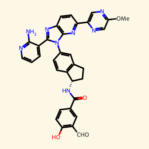 COc1cnc(-c2ccc3nc(-c4cccnc4N)n(-c4ccc5c(c4)CC[C@@H]5NC(=O)c4ccc(O)c(C=O)c4)c3n2)cn1